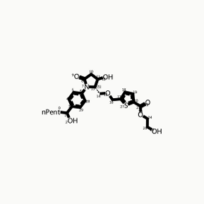 CCCCCC(O)c1ccc(N2C(=O)CC(O)[C@@H]2COCc2ccc(C(=O)OCCO)s2)cc1